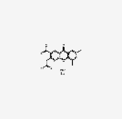 Cc1cc(C)c2oc3nc(CC(=O)[O-])c(C(=O)[O-])cc3c(=O)c2c1.[Na+].[Na+]